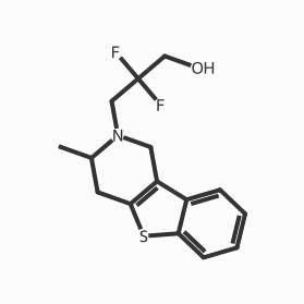 CC1Cc2sc3ccccc3c2CN1CC(F)(F)CO